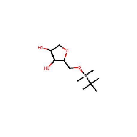 CC(C)(C)[Si](C)(C)OCC1OCC(O)C1O